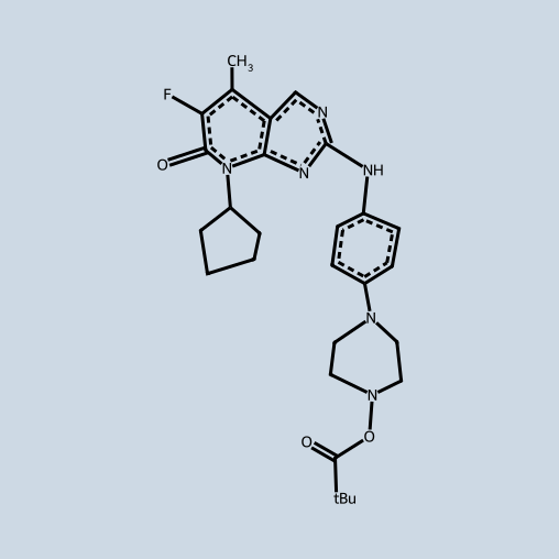 Cc1c(F)c(=O)n(C2CCCC2)c2nc(Nc3ccc(N4CCN(OC(=O)C(C)(C)C)CC4)cc3)ncc12